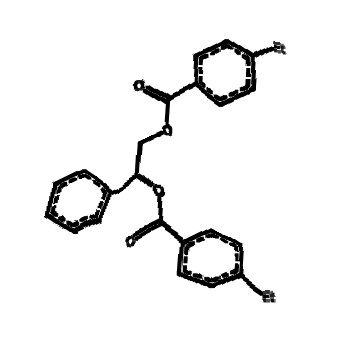 CCc1ccc(C(=O)OCC(OC(=O)c2ccc(CC)cc2)c2ccccc2)cc1